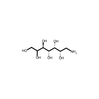 NC[C@H](O)[C@@H](O)[C@H](O)[C@H](O)C(O)CO